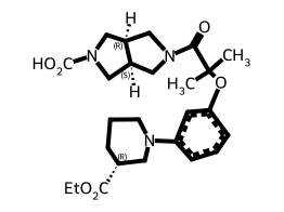 CCOC(=O)[C@@H]1CCCN(c2cccc(OC(C)(C)C(=O)N3C[C@H]4CN(C(=O)O)C[C@H]4C3)c2)C1